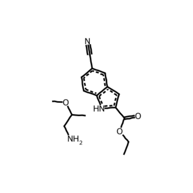 CCOC(=O)c1cc2cc(C#N)ccc2[nH]1.COC(C)CN